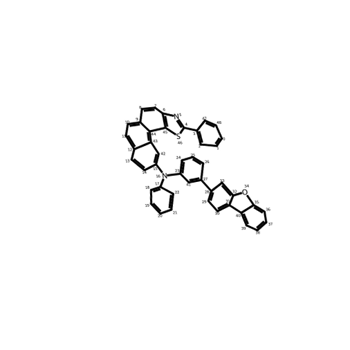 c1ccc(-c2nc3ccc4ccc5ccc(N(c6ccccc6)c6cccc(-c7ccc8c(c7)oc7ccccc78)c6)cc5c4c3s2)cc1